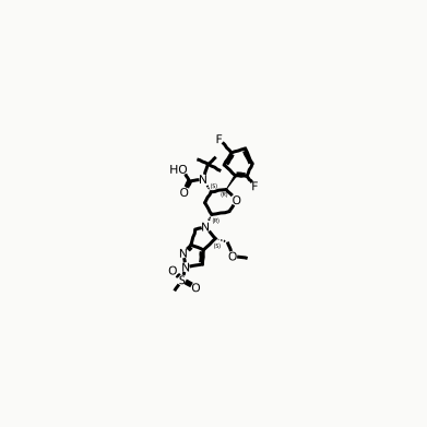 COC[C@@H]1c2cn(S(C)(=O)=O)nc2CN1[C@H]1CO[C@H](c2cc(F)ccc2F)[C@@H](N(C(=O)O)C(C)(C)C)C1